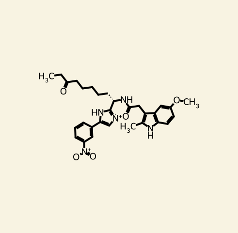 CCC(=O)CCCCC[C@H](NC(=O)Cc1c(C)[nH]c2ccc(OC)cc12)C1=[N+]C=C(c2cccc([N+](=O)[O-])c2)N1